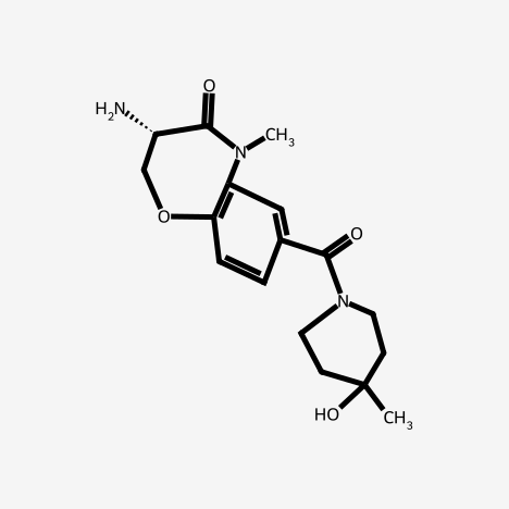 CN1C(=O)[C@@H](N)COc2ccc(C(=O)N3CCC(C)(O)CC3)cc21